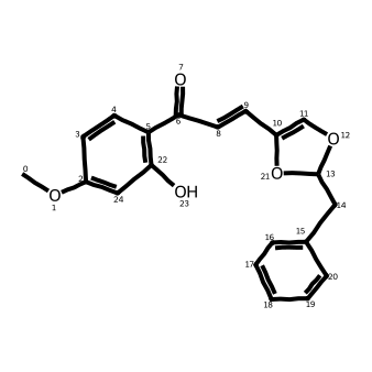 COc1ccc(C(=O)C=CC2=COC(Cc3ccccc3)O2)c(O)c1